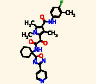 Cc1cc(NC(=O)c2c(C)c(C(=O)C(=O)NC3(c4nc(-c5ccncc5)no4)CCCCC3)n(C)c2C)ccc1F